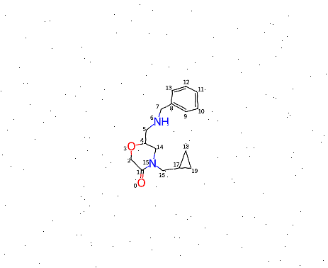 O=C1COC(CNCc2ccccc2)CN1CC1CC1